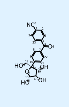 N#Cc1ccc(C(=O)c2ccc([C@]3(CO)O[C@@H](O)[C@H](O)[C@H]3O)cc2)cc1